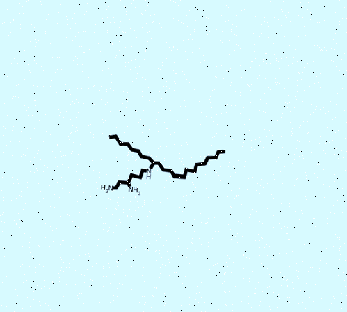 CCCCCCCC/C=C\CCCC(CCCCCCCC)NCCCC(N)CCN